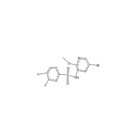 COc1ncc(Br)cc1NS(=O)(=O)c1ccc(F)c(F)c1